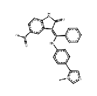 Cn1cncc1-c1ccc(NC(=C2C(=O)Nc3ccc([N+](=O)[O-])cc32)c2ccccc2)cc1